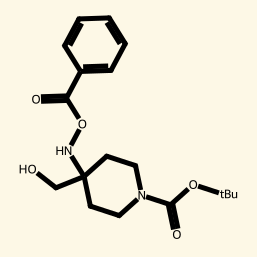 CC(C)(C)OC(=O)N1CCC(CO)(NOC(=O)c2ccccc2)CC1